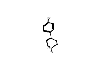 CC[Si@H]1CC[C@H](c2ccc(Br)cc2)CC1